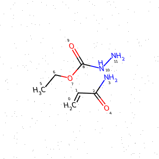 C=CC(N)=O.CCOC(=O)NN